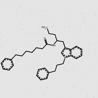 O=C(O)CCC(Cc1cn(CCCc2ccccc2)c2ccccc12)NC(=O)CCCCCCc1ccccc1